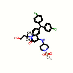 CC(C)(CCO)n1c(=O)cc(NC2CCN(S(=O)(=O)C(F)(F)F)CC2)c2cc(C(c3ccc(Cl)cc3)c3ccc(Cl)cc3)ccc21